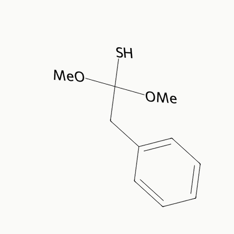 COC(S)(Cc1ccccc1)OC